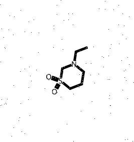 CCN1CCCS(=O)(=O)C1